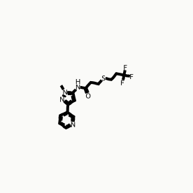 Cn1nc(-c2cccnc2)cc1NC(=O)CCSCCC(F)(F)F